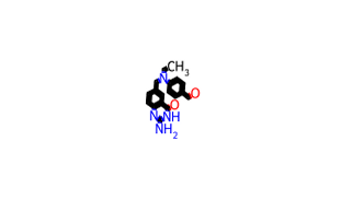 CCN(Cc1ccc2nc(N)[nH]c(=O)c2c1)c1ccc(C=O)cc1